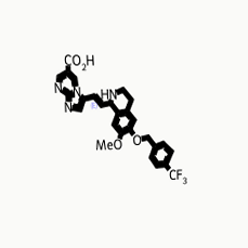 COc1cc2c(cc1OCc1ccc(C(F)(F)F)cc1)CCNC2/C=C/c1cnc2ncc(C(=O)O)cn12